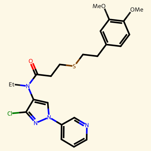 CCN(C(=O)CCSCCc1ccc(OC)c(OC)c1)c1cn(-c2cccnc2)nc1Cl